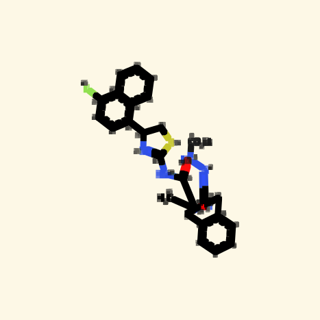 CCOC(=O)N/N=C1\NC2c3ccccc3C1CC2(C)C(=O)NC1=NC(c2ccc(F)c3ccccc23)CS1